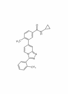 Cc1ccc(C(=O)NC2CC2)cc1-c1ccn2c(-c3ccccc3C)nnc2c1